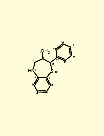 NC1CNc2ccccc2SC1c1ccccc1